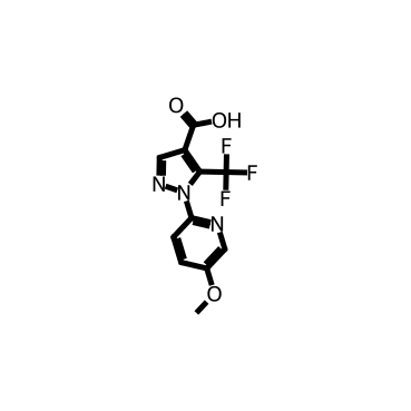 COc1ccc(-n2ncc(C(=O)O)c2C(F)(F)F)nc1